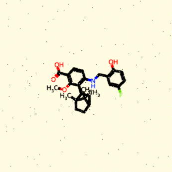 COc1c(C(=O)O)ccc(NCc2cc(F)ccc2O)c1C1CC2CCC1(C)C2(C)C